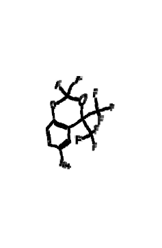 [NH]c1ccc2c(c1)C(C(F)(F)F)(C(F)(F)F)OC(F)(F)O2